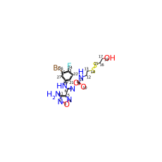 Nc1nonc1/C(=N/OC(=O)NCCSSCCO)Nc1ccc(F)c(Br)c1